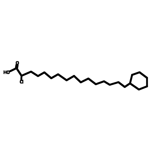 O=C(O)C(Cl)CCCCCCCCCCCCCCC1CCCCC1